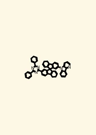 C1=CC(c2nc(-c3ccccc3)nc(-c3ccc4c(c3)C3(C5=C4CCC=C5)C4=C(CCC=C4)c4ccc(-n5c6ccccc6c6ncccc65)cc43)n2)=CCC1